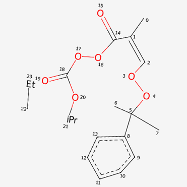 CC(=COOC(C)(C)c1ccccc1)C(=O)OOC(=O)OC(C)C.CCC